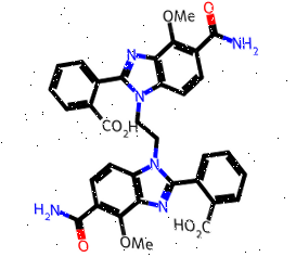 COc1c(C(N)=O)ccc2c1nc(-c1ccccc1C(=O)O)n2CCn1c(-c2ccccc2C(=O)O)nc2c(OC)c(C(N)=O)ccc21